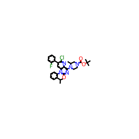 CC(C)c1ccccc1-n1c(=O)nc(N2CCN(C(=O)OC(C)(C)C)CC2C)c2nc(Cl)c(-c3ccccc3F)cc21